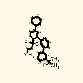 CC=CC(C)(CC)C1CC=C(c2ccccc2)C=C1c1cc(-c2cccc(C(C)(C)CC)c2)ccn1